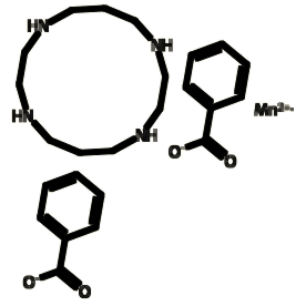 C1CNCCNCCCNCCNC1.O=C([O-])c1ccccc1.O=C([O-])c1ccccc1.[Mn+2]